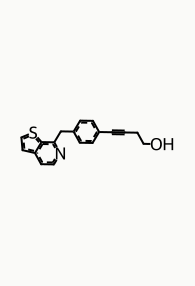 OCCC#Cc1ccc(Cc2nccc3ccsc23)cc1